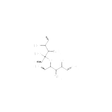 C=CC(O)C(N)C(C=C)OC(O)(C=C)C(N)C(O)C=C